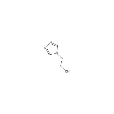 OCCn1cnnc1